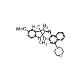 COc1ccc2c(c1)C(C)(C)C1(C=Nc3c(cc(N4CCOCC4)c4ccccc34)O1)N2C